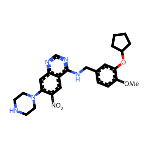 COc1ccc(CNc2ncnc3cc(N4CCNCC4)c([N+](=O)[O-])cc23)cc1OC1CCCC1